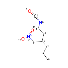 CCCC(CCN=C=O)C[N+](=O)[O-]